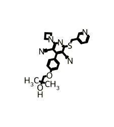 CC(C)(O)COc1ccc(-c2c(C#N)c(SCc3cccnc3)nc(N3CCC3)c2C#N)cc1